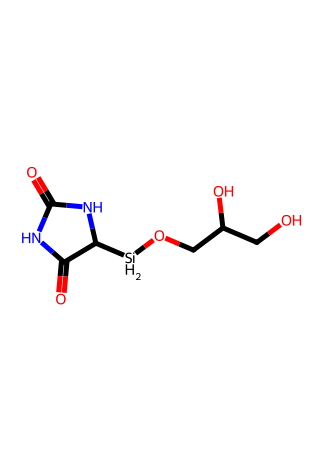 O=C1NC(=O)C([SiH2]OCC(O)CO)N1